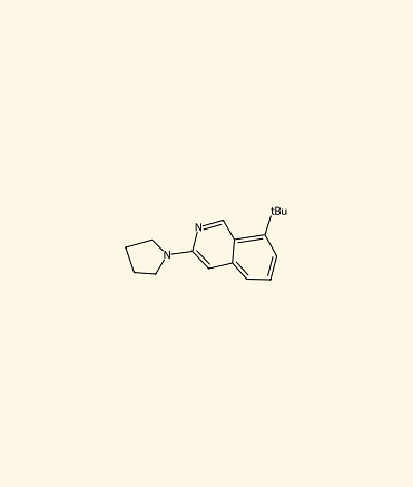 CC(C)(C)c1cccc2cc(N3CCCC3)ncc12